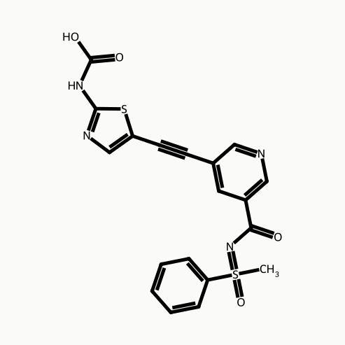 CS(=O)(=NC(=O)c1cncc(C#Cc2cnc(NC(=O)O)s2)c1)c1ccccc1